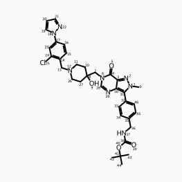 Cn1nc2c(=O)n(CC3(O)CCN(Cc4ccc(-n5cccn5)cc4Cl)CC3)cnc2c1-c1ccc(CNC(=O)OC(C)(C)C)cc1